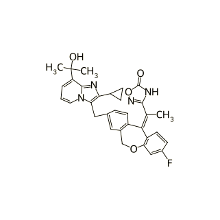 CC(=C1c2ccc(Cc3c(C4CC4)nc4c(C(C)(C)O)cccn34)cc2COc2cc(F)ccc21)c1noc(=O)[nH]1